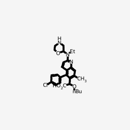 CCCCOC(C(=O)O)c1c(C)cc2nc(N(CC)C3CNCCO3)ccc2c1-c1ccc(Cl)cc1